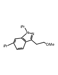 COCCc1nn(C(C)C)c2cc(C(C)C)ccc12